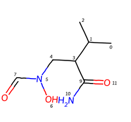 CC(C)C(CN(O)C=O)C(N)=O